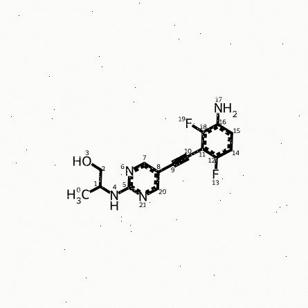 CC(CO)Nc1ncc(C#Cc2c(F)ccc(N)c2F)cn1